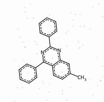 Cc1ccc2c(-c3ccccc3)nc(-c3ccccc3)nc2c1